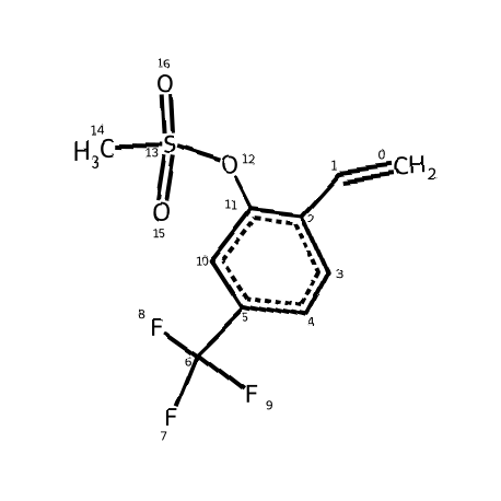 C=Cc1ccc(C(F)(F)F)cc1OS(C)(=O)=O